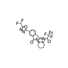 CCC(F)(F)C(=O)N[C@@H]1CCCC[C@H]1N1Cc2ccc(-c3nnc(C(F)F)o3)cc2C1=O